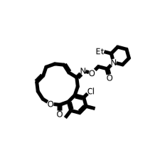 CCC1CCCCN1C(=O)CO/N=C1/C=C/CC/C=C/CCOC(=O)c2c(C)cc(C)c(Cl)c2C1